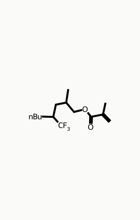 C=C(C)C(=O)OCC(C)CC(CCCC)C(F)(F)F